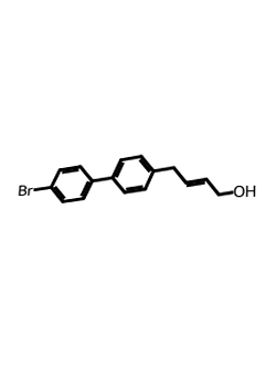 OCC=CCc1ccc(-c2ccc(Br)cc2)cc1